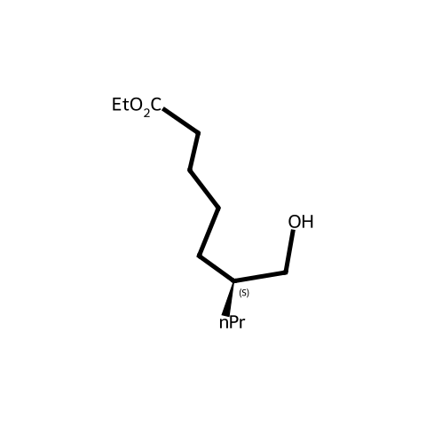 CCC[C@H](CO)CCCCC(=O)OCC